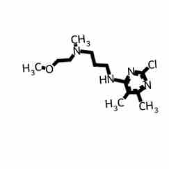 COCCN(C)CCCNc1nc(Cl)nc(C)c1C